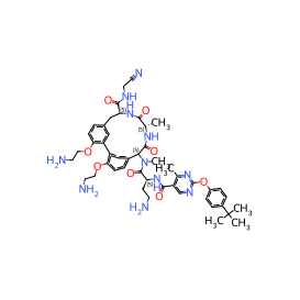 Cc1nc(Oc2ccc(C(C)(C)C)cc2)ncc1C(=O)N[C@@H](CCN)C(=O)N(C)[C@@H]1C(=O)N[C@@H](C)C(=O)N[C@H](C(=O)NCC#N)Cc2ccc(OCCN)c(c2)-c2cc1ccc2OCCN